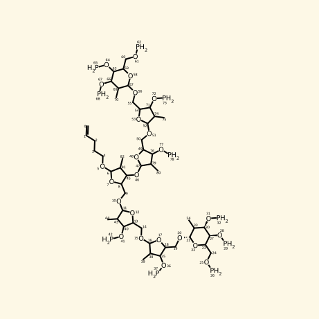 C=CCCCOC1OC(COC2OC(COC3OC(CO[C@H]4OC(COP)[C@H](OP)[C@H](OP)C4C)C(OP)C3C)C(OP)C2C)C(OC2OC(COC3OC(COC4OC(COP)C(OP)C(OP)C4C)C(OP)C3C)C(OP)C2C)C1C